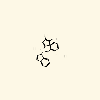 CC(C)C1=C(C(C)C)C[C]([Zr]([CH3])(=[CH]c2ccccc2)[CH]2C=Cc3ccccc32)=C1.Cl.Cl